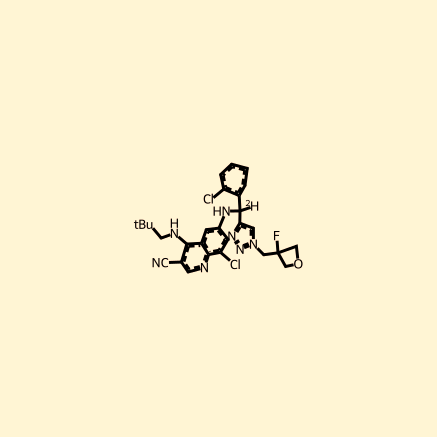 [2H]C(Nc1cc(Cl)c2ncc(C#N)c(NCC(C)(C)C)c2c1)(c1cn(CC2(F)COC2)nn1)c1ccccc1Cl